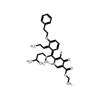 CC/C=c1\c(OCCc2ccccc2)ccc\c1=C(/c1[nH]cc(C(=O)OCC)c(=O)c1F)N(C)CCC(C)C